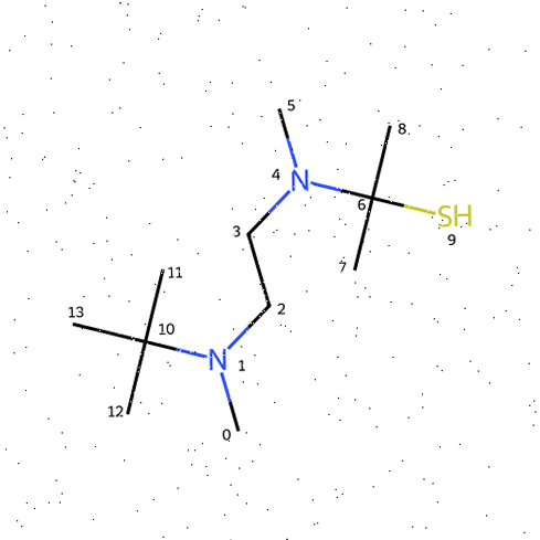 CN(CCN(C)C(C)(C)S)C(C)(C)C